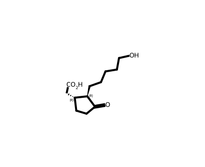 O=C(O)C[C@H]1CCC(=O)[C@@H]1CCCCCO